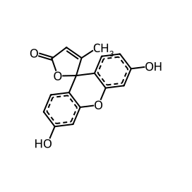 CC1=CC(=O)OC12c1ccc(O)cc1Oc1cc(O)ccc12